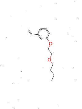 C=Cc1cccc(OCCOCCCC)c1